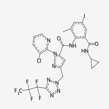 Cc1cc(I)cc(C(=O)NC2CC2)c1NC(=O)c1cc(Cn2nnc(C(F)(F)C(F)(F)C(F)(F)F)n2)nn1-c1ncccc1Cl